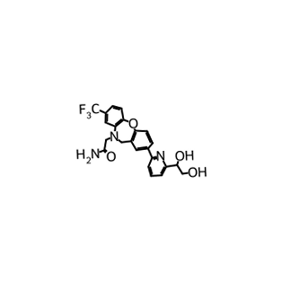 NC(=O)CN1Cc2cc(-c3cccc(C(O)CO)n3)ccc2Oc2ccc(C(F)(F)F)cc21